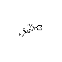 CC(=O)NCCN(C)C1CCCCC1